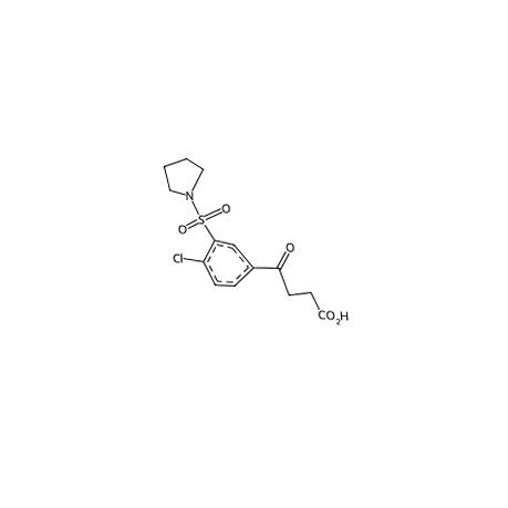 O=C(O)CCC(=O)c1ccc(Cl)c(S(=O)(=O)N2CCCC2)c1